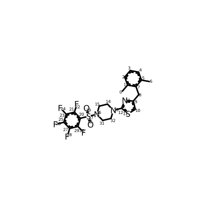 Cc1cccc(C)c1Cc1csc(N2CCN(S(=O)(=O)c3c(F)c(F)c(F)c(F)c3F)CC2)n1